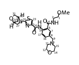 COCCNC(=O)c1cc(CN2CCOCC2)ccc1NC(=O)c1csc(N2C[C@@H]3C[C@H]2CO3)n1